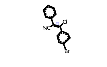 N#C/C(=C(/Cl)c1ccc(Br)cc1)c1ccccc1